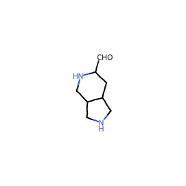 O=CC1CC2CNCC2CN1